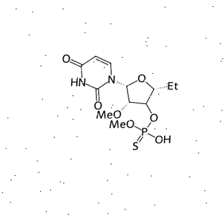 CC[C@H]1O[C@@H](n2ccc(=O)[nH]c2=O)[C@@H](OC)C1OP(O)(=S)OC